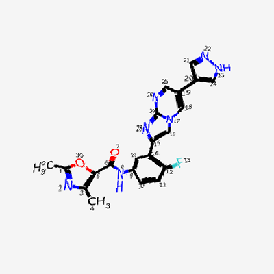 Cc1nc(C)c(C(=O)Nc2ccc(F)c(-c3cn4cc(-c5cn[nH]c5)cnc4n3)c2)o1